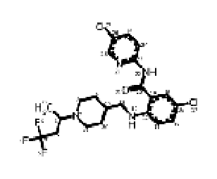 CC(CC(F)(F)F)N1CCC(CNc2ccc(Cl)cc2C(=O)Nc2ccc(Cl)cn2)CC1